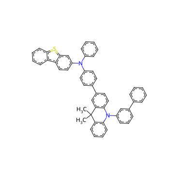 CC1(C)c2ccccc2N(c2cccc(-c3ccccc3)c2)c2ccc(-c3ccc(N(c4ccccc4)c4ccc5c(c4)sc4ccccc45)cc3)cc21